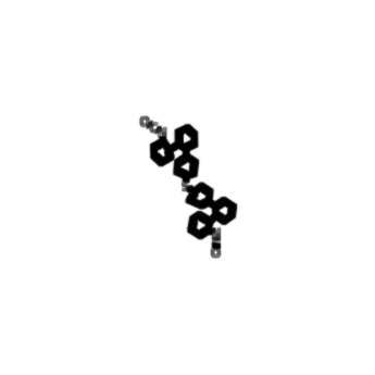 O=C=Nc1ccccc1-c1ccccc1-c1ccc(Sc2ccc(-c3ccccc3-c3ccccc3N=C=O)cc2)cc1